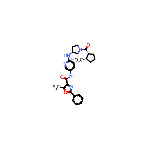 O=C(Nc1ccc(N[C@H]2CCN(C(=O)[C@@H]3CCC[C@H]3C(=O)O)C2)nc1)c1nc(-c2ccccc2)oc1C(F)(F)F